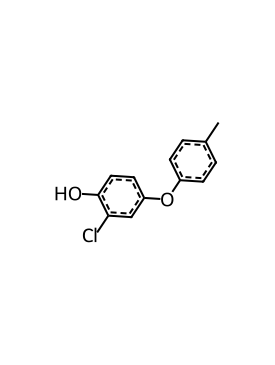 Cc1ccc(Oc2ccc(O)c(Cl)c2)cc1